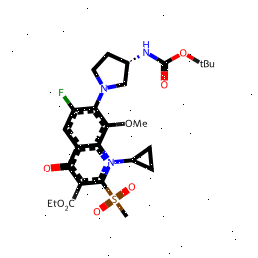 CCOC(=O)c1c(S(C)(=O)=O)n(C2CC2)c2c(OC)c(N3CC[C@H](NC(=O)OC(C)(C)C)C3)c(F)cc2c1=O